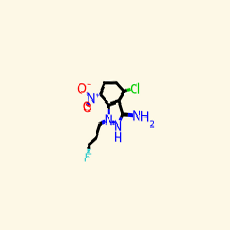 NC1NN(CCCF)C2C1C(Cl)CCC2[N+](=O)[O-]